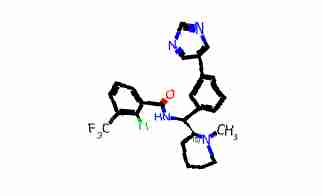 CN1CCCC[C@H]1C(NC(=O)c1cccc(C(F)(F)F)c1Cl)c1cccc(-c2cncnc2)c1